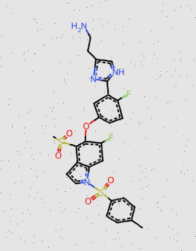 Cc1ccc(S(=O)(=O)n2ccc3c(S(C)(=O)=O)c(Oc4ccc(F)c(-c5nc(CCN)c[nH]5)c4)c(F)cc32)cc1